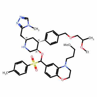 CCOC(C)COCc1ccc([C@H]2C[C@H](Cc3nncn3C)NC[C@@H]2OC(c2ccc3c(c2)N(CCCOC)CCO3)S(=O)(=O)c2ccc(C)cc2)cc1